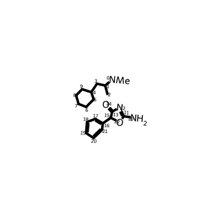 CNC(C)CC1CCCCC1.NC1=NC(=O)C(c2ccccc2)O1